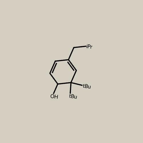 CC(C)CC1=CC(C(C)(C)C)(C(C)(C)C)C(O)C=C1